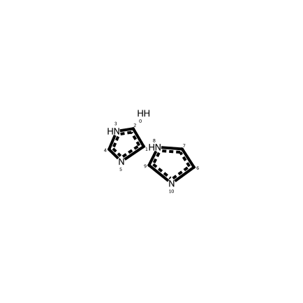 [HH].c1c[nH]cn1.c1c[nH]cn1